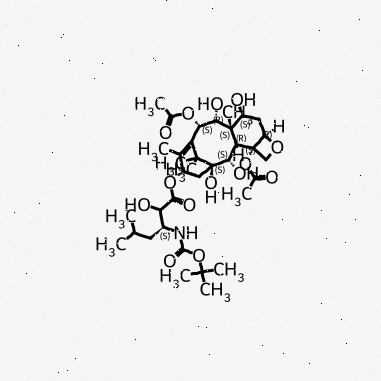 CC(=O)O[C@H]1C2=C(C)[C@@H](OC(=O)C(O)[C@H](CC(C)C)NC(=O)OC(C)(C)C)C[C@@](O)([C@@H](O)[C@@H]3[C@]4(OC(C)=O)CO[C@@H]4C[C@H](O)[C@@]3(C)[C@H]1O)C2(C)C